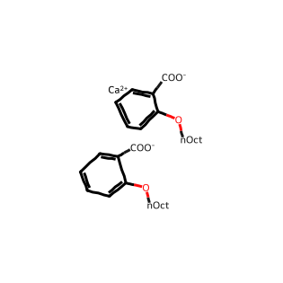 CCCCCCCCOc1ccccc1C(=O)[O-].CCCCCCCCOc1ccccc1C(=O)[O-].[Ca+2]